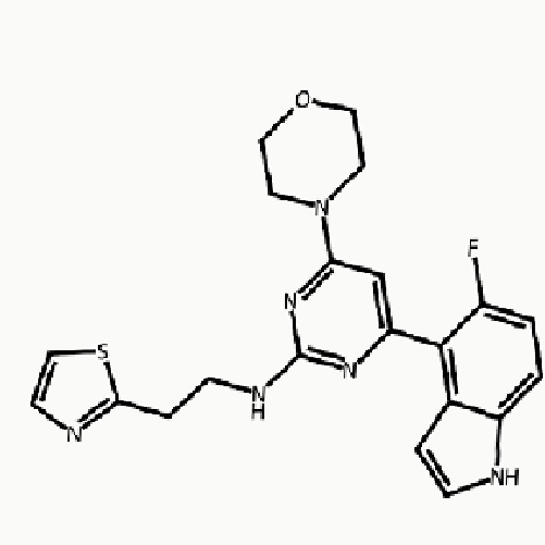 Fc1ccc2[nH]ccc2c1-c1cc(N2CCOCC2)nc(NCCc2nccs2)n1